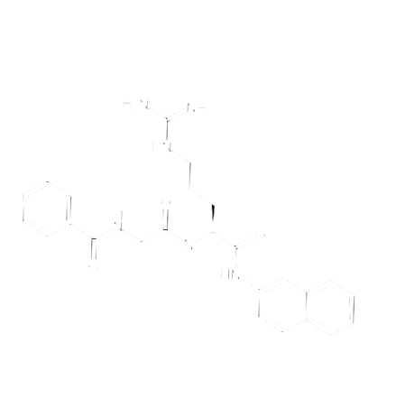 N=C(N)NCCC[C@H](NC(=O)CNC(=O)c1ccccc1)C(=O)Nc1ccc2ccccc2c1